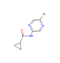 O=C(Nc1cnc(Br)cn1)C1CC1